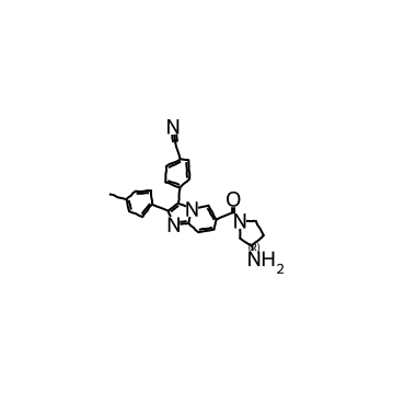 Cc1ccc(-c2nc3ccc(C(=O)N4CC[C@@H](N)C4)cn3c2-c2ccc(C#N)cc2)cc1